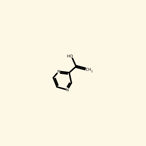 C=C(O)c1cnccn1